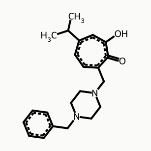 CC(C)c1ccc(CN2CCN(Cc3ccccc3)CC2)c(=O)c(O)c1